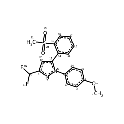 COc1ccc(-n2nc(C(F)F)cc2-c2ccccc2S(C)(=O)=O)cc1